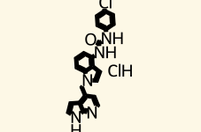 Cl.O=C(Nc1ccc(Cl)cc1)Nc1cccc2c1ccn2Cc1ccnc2[nH]ccc12